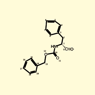 O=[C][C@@H](Cc1ccccc1)NC(=O)OCc1ccccc1